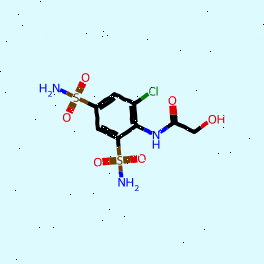 NS(=O)(=O)c1cc(Cl)c(NC(=O)CO)c(S(N)(=O)=O)c1